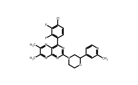 Cc1cc(C2CN(c3nc(-c4ccc(Cl)c(F)c4F)c4nc(C)c(C)nc4n3)CCO2)ccn1